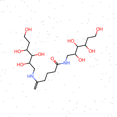 C=C(CCCC(=O)NCC(O)C(O)C(O)CCO)NCC(O)C(O)C(O)CCO